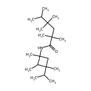 CC(C)C(C)(C)CC(C)(C)C(=O)NC1(C)CC(C)(C(C)C)C1C